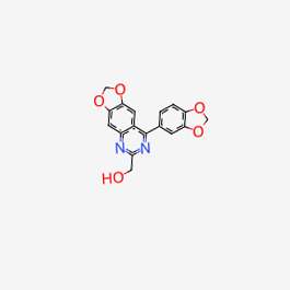 OCc1nc(-c2ccc3c(c2)OCO3)c2cc3c(cc2n1)OCO3